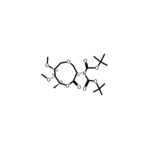 CO[C@H]1[C@H](C)OC(=O)[C@@H](N(C(=O)OC(C)(C)C)C(=O)OC(C)(C)C)COC[C@@H]1OC